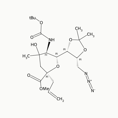 C=CC[C@]1(C(=O)OC)CC(C)(O)[C@@H](NC(=O)OC(C)(C)C)[C@H]([C@@H]2OC(C)(C)O[C@@H]2CN=[N+]=[N-])O1